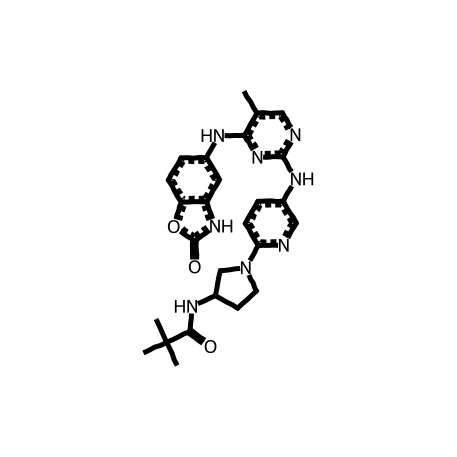 Cc1cnc(Nc2ccc(N3CCC(NC(=O)C(C)(C)C)C3)nc2)nc1Nc1ccc2oc(=O)[nH]c2c1